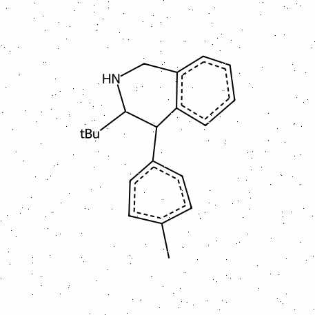 Cc1ccc(C2c3ccccc3CNC2C(C)(C)C)cc1